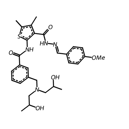 COc1ccc(/C=N/NC(=O)c2c(NC(=O)c3cccc(CN(CC(C)O)CC(C)O)c3)sc(C)c2C)cc1